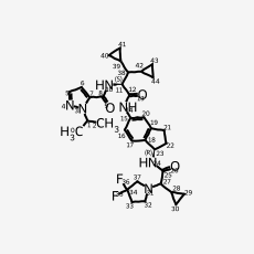 CC(C)n1nccc1C(=O)N[C@H](C(=O)Nc1ccc2c(c1)CC[C@H]2NC(=O)C(C1CC1)N1CCC(F)(F)C1)C(C1CC1)C1CC1